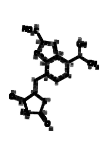 CC(O)c1ccc(/C=C2\SC(=O)NC2=O)c2oc(C(=O)O)cc12